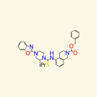 CC(C)C1CN(c2nc3ccccc3o2)CCN1C(=S)Nc1cccc2c1CCN(C(=O)OCc1ccccc1)C2